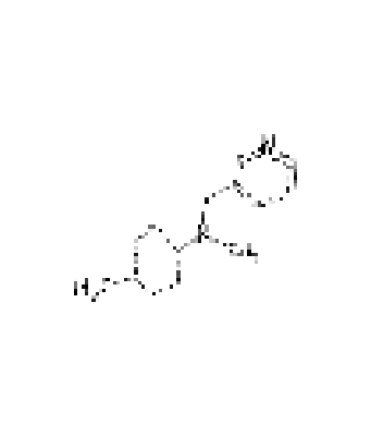 CC1CCC(N(C)Cc2cccnc2)CC1